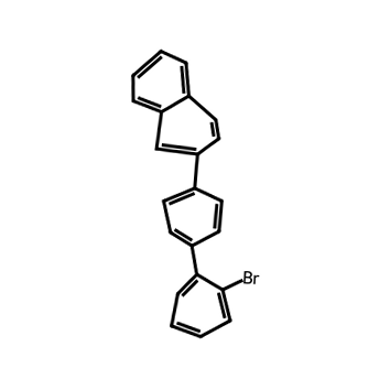 Brc1ccccc1-c1ccc(-c2ccc3ccccc3c2)cc1